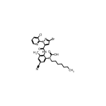 CCCCCCCN(C(=O)O)c1cc(C#N)cc(C)c1NC(=O)c1cc(Br)nn1-c1ncccc1Cl